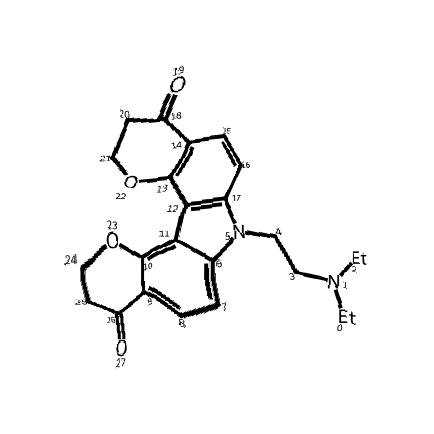 CCN(CC)CCn1c2ccc3c(c2c2c4c(ccc21)C(=O)CCO4)OCCC3=O